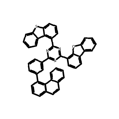 c1cc(-c2nc(-c3cccc4c3oc3ccccc34)nc(-c3cccc4sc5ccccc5c34)n2)cc(-c2cccc3ccc4ccccc4c23)c1